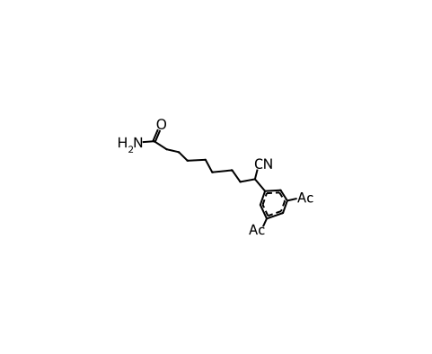 CC(=O)c1cc(C(C)=O)cc(C(C#N)CCCCCCCC(N)=O)c1